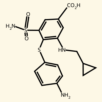 Nc1ccc(Sc2c(NCC3CC3)cc(C(=O)O)cc2S(N)(=O)=O)cc1